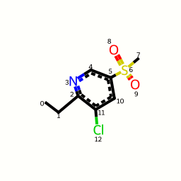 CCc1ncc(S(C)(=O)=O)cc1Cl